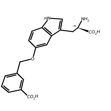 N[C@H](Cc1c[nH]c2ccc(OCc3cccc(C(=O)O)c3)cc12)C(=O)O